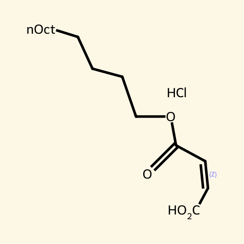 CCCCCCCCCCCCOC(=O)/C=C\C(=O)O.Cl